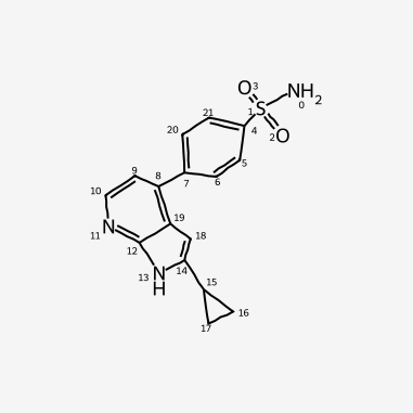 NS(=O)(=O)c1ccc(-c2ccnc3[nH]c(C4CC4)cc23)cc1